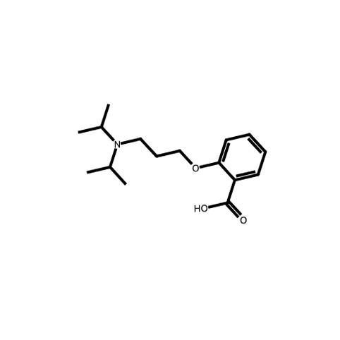 CC(C)N(CCCOc1ccccc1C(=O)O)C(C)C